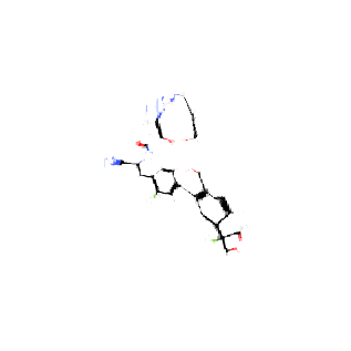 N#CC(Cc1cc2c(cc1F)-c1cc(C3(F)COC3)ccc1CO2)NC(=O)[C@@H]1CNCCCO1